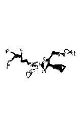 CCON=Cc1sc([S+]([O-])CCC(F)=C(F)F)nc1C1CC1